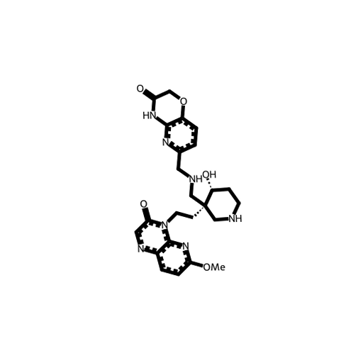 COc1ccc2ncc(=O)n(CC[C@@]3(CNCc4ccc5c(n4)NC(=O)CO5)CNCC[C@H]3O)c2n1